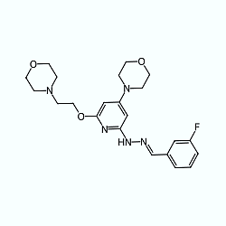 Fc1cccc(C=NNc2cc(N3CCOCC3)cc(OCCN3CCOCC3)n2)c1